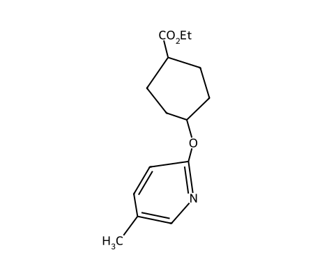 CCOC(=O)C1CCC(Oc2ccc(C)cn2)CC1